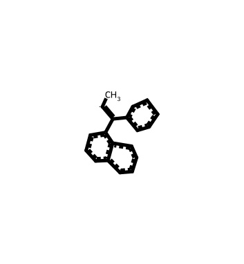 C[C]=C(c1ccccc1)c1cccc2ccccc12